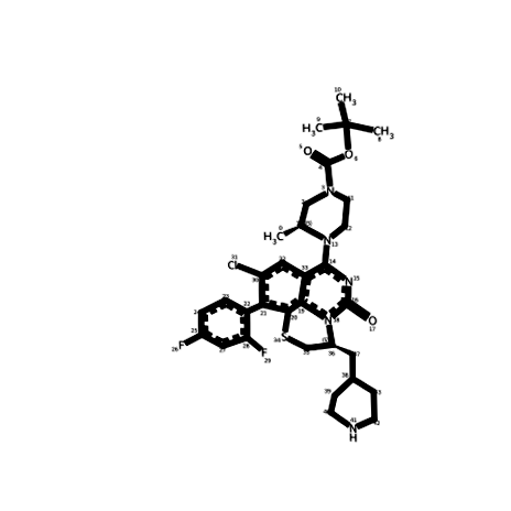 C[C@H]1CN(C(=O)OC(C)(C)C)CCN1c1nc(=O)n2c3c(c(-c4ccc(F)cc4F)c(Cl)cc13)SC[C@@H]2CC1CCNCC1